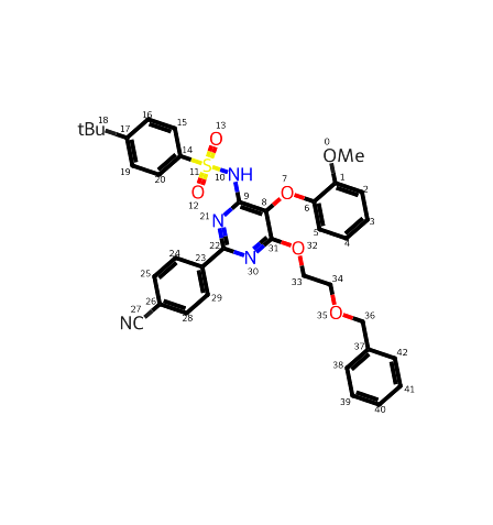 COc1ccccc1Oc1c(NS(=O)(=O)c2ccc(C(C)(C)C)cc2)nc(-c2ccc(C#N)cc2)nc1OCCOCc1ccccc1